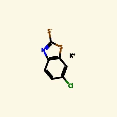 [K+].[S-]c1nc2ccc(Cl)cc2s1